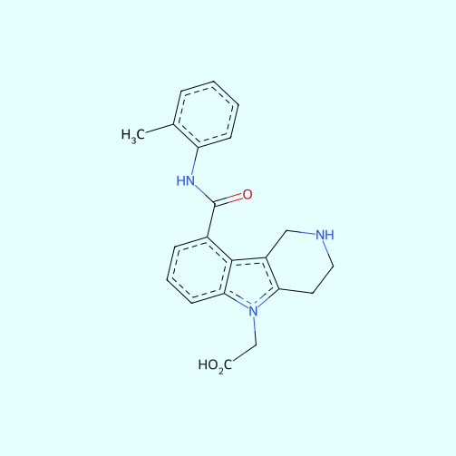 Cc1ccccc1NC(=O)c1cccc2c1c1c(n2CC(=O)O)CCNC1